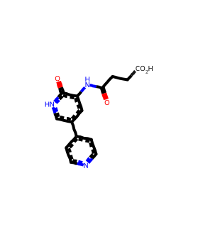 O=C(O)CCC(=O)Nc1cc(-c2ccncc2)c[nH]c1=O